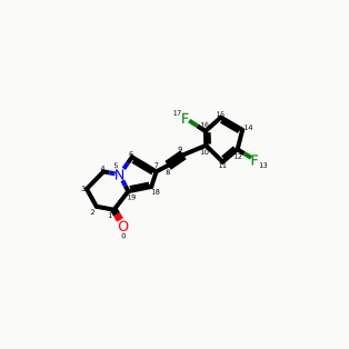 O=C1CCCn2cc(C#Cc3cc(F)ccc3F)cc21